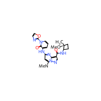 CNc1cc(Nc2cccn(-c3ncco3)c2=O)nc2c(C(=O)NC3CC[C@]3(C)OC)cnn12